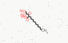 CCCCCCCCCCCC(C(=O)O)C(=O)C(O)CO